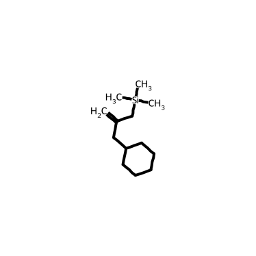 C=C(CC1CCCCC1)C[Si](C)(C)C